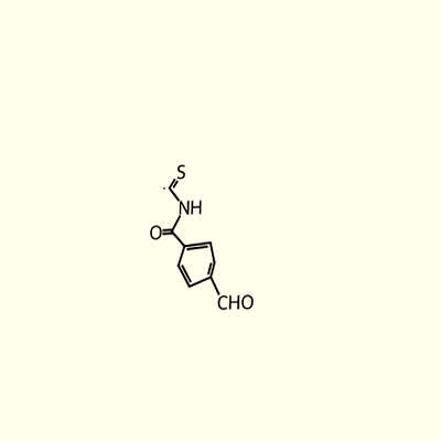 O=Cc1ccc(C(=O)N[C]=S)cc1